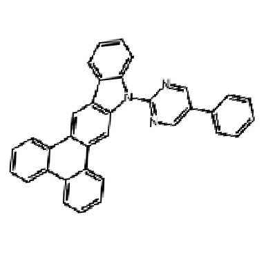 c1ccc(-c2cnc(-n3c4ccccc4c4cc5c6ccccc6c6ccccc6c5cc43)nc2)cc1